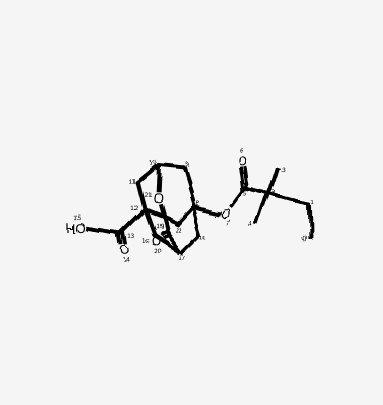 CCC(C)(C)C(=O)OC12CC3CC(C(=O)O)(CC(C1)C(=O)O3)C2